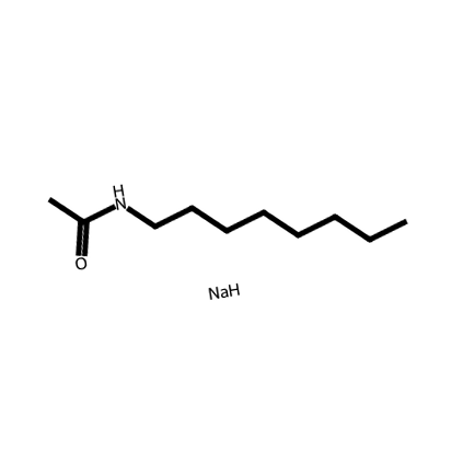 CCCCCCCCNC(C)=O.[NaH]